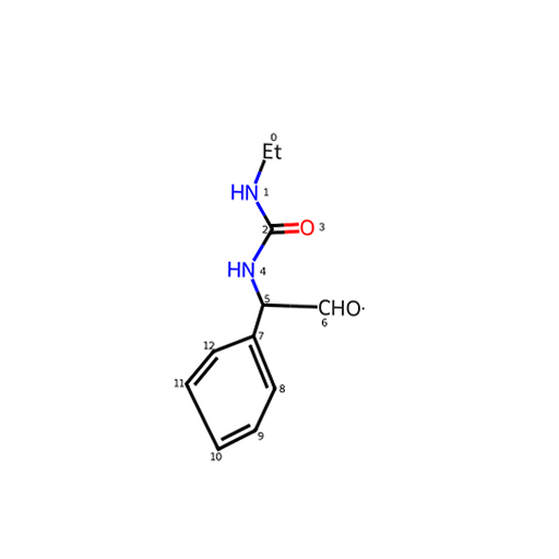 CCNC(=O)NC([C]=O)c1ccccc1